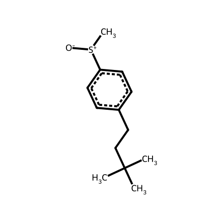 C[S+]([O-])c1ccc(CCC(C)(C)C)cc1